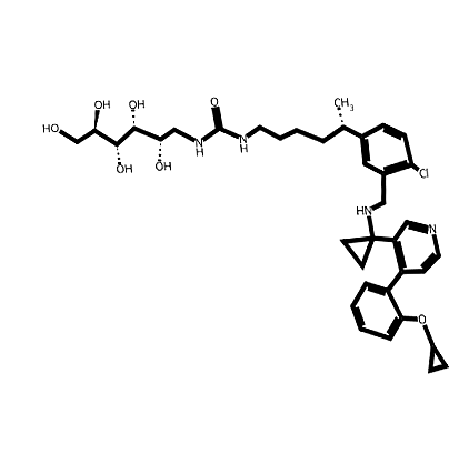 C[C@@H](CCCCNC(=O)NC[C@H](O)[C@@H](O)[C@H](O)[C@H](O)CO)c1ccc(Cl)c(CNC2(c3cnccc3-c3ccccc3OC3CC3)CC2)c1